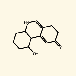 O=C1C=C2C(=CNC3CCCC(O)C23)CC1